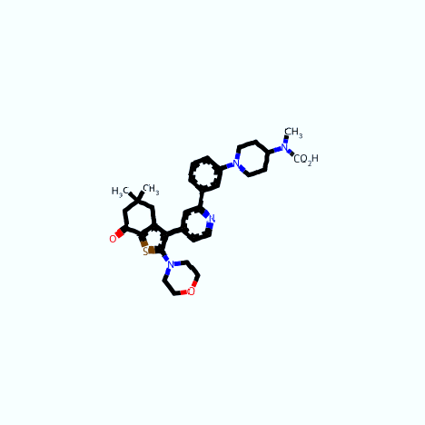 CN(C(=O)O)C1CCN(c2cccc(-c3cc(-c4c(N5CCOCC5)sc5c4CC(C)(C)CC5=O)ccn3)c2)CC1